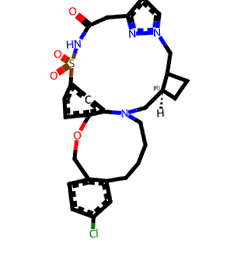 O=C1Cc2ccn(n2)CC2CC[C@H]2CN2CCCCc3cc(Cl)ccc3COc3ccc(cc32)S(=O)(=O)N1